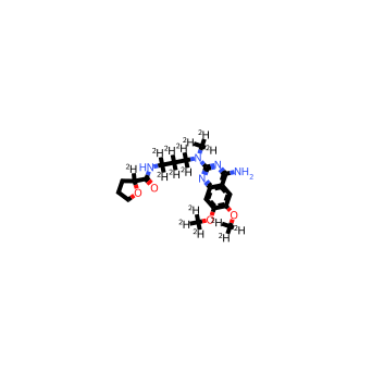 [2H]C([2H])([2H])Oc1cc2nc(N(C([2H])([2H])[2H])C([2H])([2H])C([2H])([2H])C([2H])([2H])NC(=O)C3([2H])CCCO3)nc(N)c2cc1OC([2H])([2H])[2H]